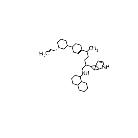 C=CC[C@@H]1CCCC(C2CC=C(C(C)CCC(CNC3CCCC4CCCCC43)C3C4C5NC=C[C@@]534)CC2)C1